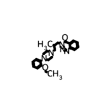 CCOc1ccccc1N1CCN(CC(C)Cn2nnc3ccccc3c2=O)CC1